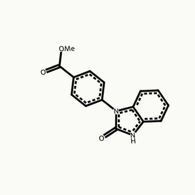 COC(=O)c1ccc(-n2c(=O)[nH]c3ccccc32)cc1